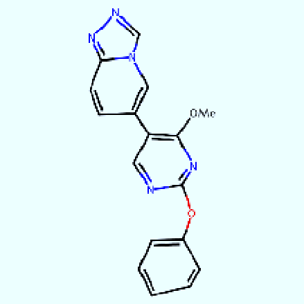 COc1nc(Oc2ccccc2)ncc1-c1ccc2nncn2c1